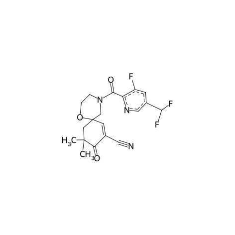 CC1(C)CC2(C=C(C#N)C1=O)CN(C(=O)c1ncc(C(F)F)cc1F)CCO2